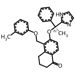 Cc1cccc(OCc2c(O[C@@](C)(c3ccccc3)c3ncc[nH]3)ccc3c2CCCC3=O)c1